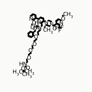 CCOc1ccc(C(=O)N2CCN(c3ccc(-c4cccnc4OCC)nc3CN(CCCOCCOCCOCCOCCNC(=O)OC(C)(C)C)C(=O)OCc3ccccc3)[C@H](CC)C2)c(C(F)(F)F)n1